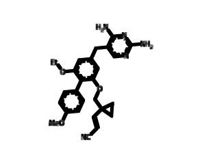 CCOc1cc(Cc2cnc(N)nc2N)cc(OCC2(C=CC#N)CC2)c1-c1ccc(OC)cc1